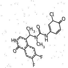 CC(c1c[nH]c(=O)c2cc(F)c(F)cc12)N(C)C(=O)NC1=CC(Cl)C(=O)C=C1